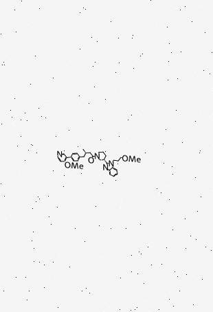 COCCCn1c([C@@H]2CCCN(C(=O)C[C@H](C)Cc3ccc(-c4cnccc4OC)cc3)C2)nc2ccccc21